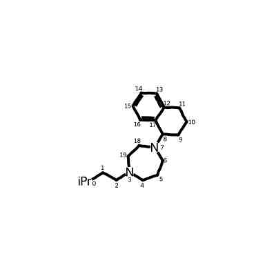 CC(C)CCN1CCCN(C2CCCc3ccccc32)CC1